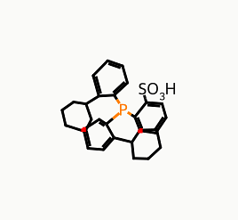 O=S(=O)(O)c1ccccc1P(c1ccccc1C1CCCCC1)c1ccccc1C1CCCCC1